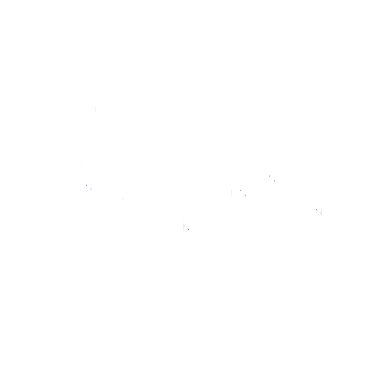 CC(C)OC(=O)NC(=O)c1ccsc1NC(=O)C1CC2NCCCN2N1